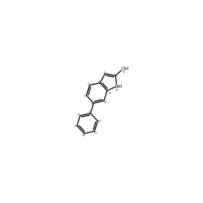 Oc1cc2ccc(-c3ccccc3)cc2[nH]1